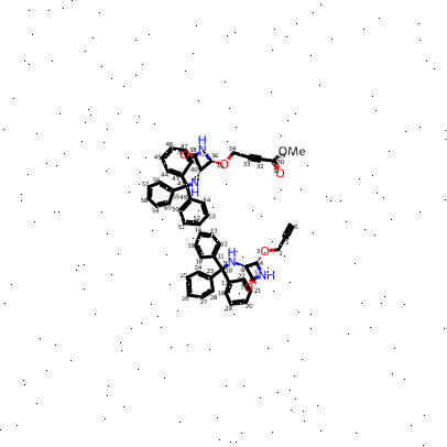 C#CCO[C@@H]1NC(=O)[C@H]1NC(c1ccccc1)(c1ccccc1)c1ccccc1.COC(=O)C#CCO[C@@H]1NC(=O)[C@H]1NC(c1ccccc1)(c1ccccc1)c1ccccc1